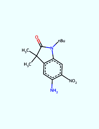 CCCCN1C(=O)C(C)(C)c2cc(N)c([N+](=O)[O-])cc21